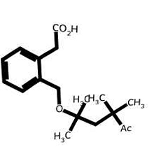 CC(=O)C(C)(C)CC(C)(C)OCc1ccccc1CC(=O)O